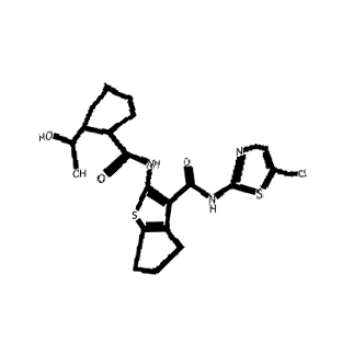 O=C(Nc1ncc(Cl)s1)c1c(NC(=O)C2CCCCC2C(O)O)sc2c1CCC2